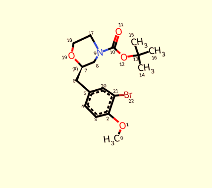 COc1ccc(C[C@@H]2CN(C(=O)OC(C)(C)C)CCO2)cc1Br